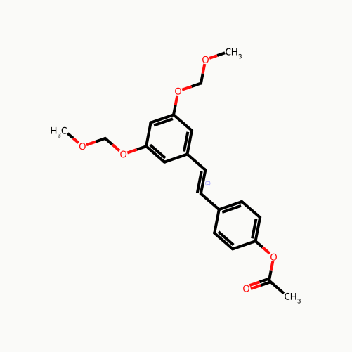 COCOc1cc(/C=C/c2ccc(OC(C)=O)cc2)cc(OCOC)c1